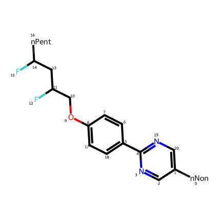 CCCCCCCCCc1cnc(-c2ccc(OCC(F)CC(F)CCCCC)cc2)nc1